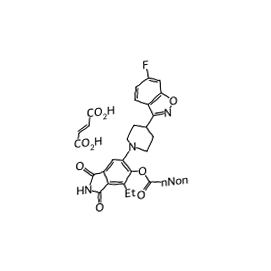 CCCCCCCCCC(=O)Oc1c(N2CCC(c3noc4cc(F)ccc34)CC2)cc2c(c1CC)C(=O)NC2=O.O=C(O)C=CC(=O)O